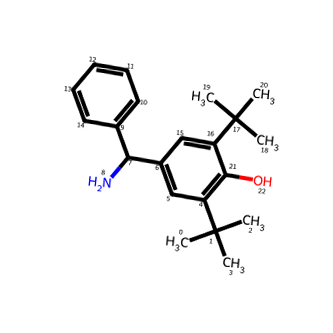 CC(C)(C)c1cc(C(N)c2ccccc2)cc(C(C)(C)C)c1O